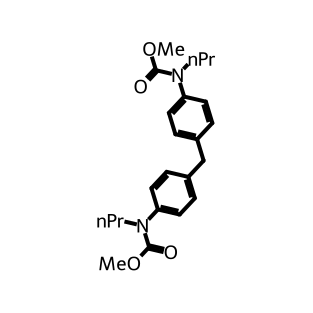 CCCN(C(=O)OC)c1ccc(Cc2ccc(N(CCC)C(=O)OC)cc2)cc1